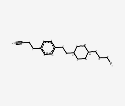 N#CCCc1ccc(CCC2CCC(CCCF)CC2)cc1